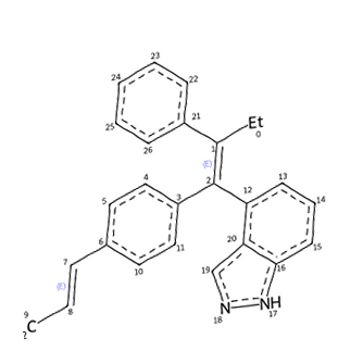 CC/C(=C(/c1ccc(/C=C/C(=O)O)cc1)c1cccc2[nH]ncc12)c1ccccc1